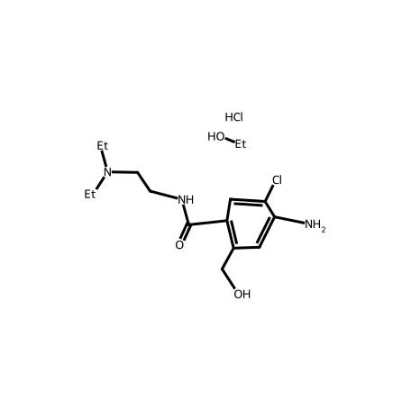 CCN(CC)CCNC(=O)c1cc(Cl)c(N)cc1CO.CCO.Cl